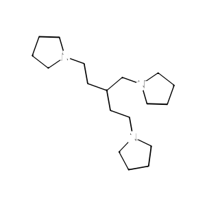 [CH](CN1CCCC1)C(CCN1CCCC1)CN1CCCC1